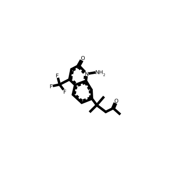 CC(=O)CC(C)(C)c1ccc2c(C(F)(F)F)cc(=O)n(N)c2c1